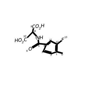 Cc1ccc(C(=O)NC(C(=O)O)C(=O)O)cc1F